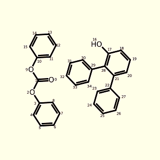 O=C(Oc1ccccc1)Oc1ccccc1.Oc1cccc(-c2ccccc2)c1-c1ccccc1